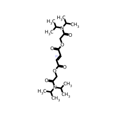 CC(C)N(C(=O)COC(=O)/C=C/C(=O)OCC(=O)N(C(C)C)C(C)C)C(C)C